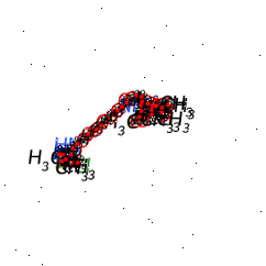 CC[C@H](C(=O)N1CCCC[C@H]1C(=O)O[C@H](CCc1ccc(OC)c(OC)c1)c1cccc(OCC(=O)NCCOCCOCCOCCOCCOCCOCCNC(=O)C[C@@H]2N=C(c3ccc(Cl)cc3)c3c(sc(C)c3C)-n3c(C)nnc32)c1)c1cc(OC)c(OC)c(OC)c1